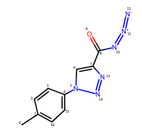 Cc1ccc(-n2cc(C(=O)N=[N+]=[N-])nn2)cc1